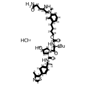 Cc1ncsc1-c1ccc([C@H](C)NC(=O)[C@@H]2C[C@@H](O)CN2C(=O)[C@@H](NC(=O)OCCCCc2cccc(N(C)CC(N)CCC(N)=O)c2F)C(C)(C)C)cc1.Cl